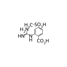 CS(=O)(=O)O.N=C(N)Nc1ccccc1C(=O)O